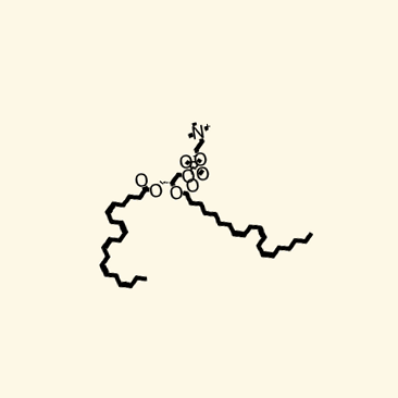 CC/C=C\C/C=C\C/C=C\C/C=C\C/C=C\CCCC(=O)OC[C@H](COP(=O)([O-])OCC[N+](C)(C)C)OC(=O)CCCCCC/C=C\C/C=C\C/C=C\CCCCC